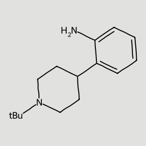 CC(C)(C)N1CCC(c2ccccc2N)CC1